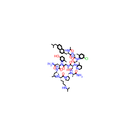 CC(=O)N[C@H](Cc1ccc2cc(CC(C)C)ccc2c1)C(=O)N[C@H](Cc1ccc(Cl)cc1)C(=O)N[C@H](Cc1cccnc1)C(=O)N[C@@H](CO)C(=O)N(C)[C@@H](Cc1ccc(O)cc1)C(=O)N[C@H](CC(N)=O)C(=O)N[C@H](CN[C@@H](CCCCNC(C)C)C(=O)N1CCC[C@H]1CN[C@H](C)C(N)=O)CC(C)C